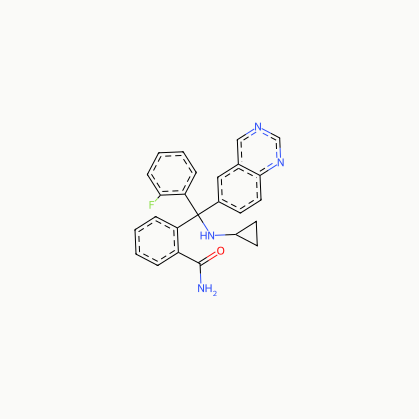 NC(=O)c1ccccc1C(NC1CC1)(c1ccc2ncncc2c1)c1ccccc1F